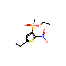 CCOP(C)(=O)c1cc(CC)sc1[N+](=O)[O-]